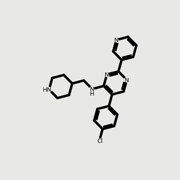 Clc1ccc(-c2cnc(-c3cccnc3)nc2NCC2CCNCC2)cc1